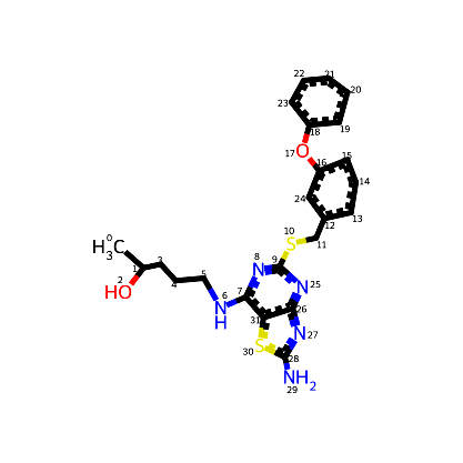 CC(O)CCCNc1nc(SCc2cccc(Oc3ccccc3)c2)nc2nc(N)sc12